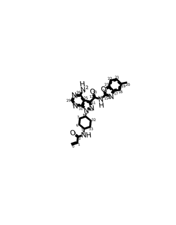 C=CC(=O)N[C@H]1CC[C@@H](n2nc(C(=O)Nc3nc4cc(C)ccc4o3)c3c(N)ncnc32)CC1